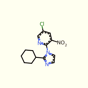 O=[N+]([O-])c1cc(Cl)cnc1-n1ccnc1C1CCCCC1